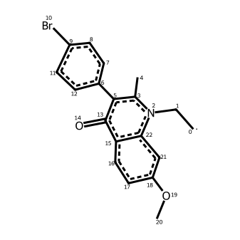 [CH2]Cn1c(C)c(-c2ccc(Br)cc2)c(=O)c2ccc(OC)cc21